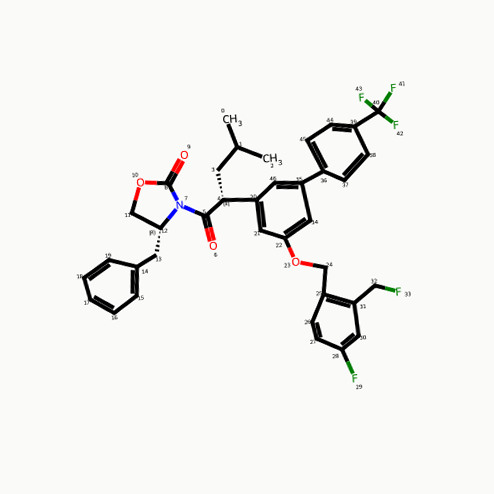 CC(C)C[C@@H](C(=O)N1C(=O)OC[C@H]1Cc1ccccc1)c1cc(OCc2ccc(F)cc2CF)cc(-c2ccc(C(F)(F)F)cc2)c1